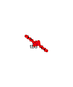 Cc1cc(-c2ccc3c(c2)C(C)(C)c2cc(-c4ccc5c(c4)C(C)(C)c4ccccc4-5)ccc2-3)cc(C)c1N(c1ccccc1)c1c2ccccc2c(N(c2ccccc2)c2c(C)cc(-c3ccc4c(c3)C(C)(C)c3cc(-c5ccc6c(c5)C(C)(C)c5ccccc5-6)ccc3-4)cc2C)c2cc(C(C)(C)C)ccc12